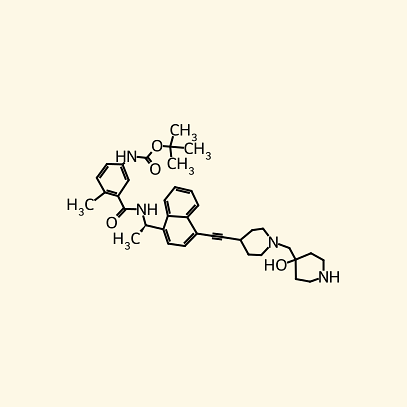 Cc1ccc(NC(=O)OC(C)(C)C)cc1C(=O)N[C@H](C)c1ccc(C#CC2CCN(CC3(O)CCNCC3)CC2)c2ccccc12